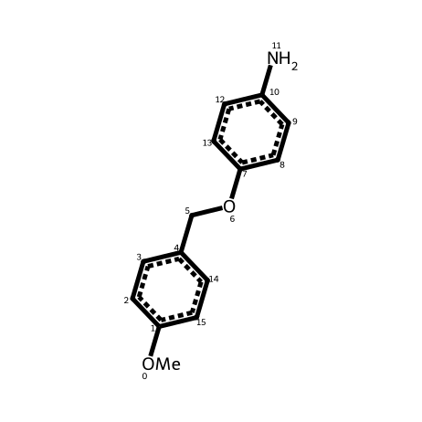 COc1ccc(COc2ccc(N)cc2)cc1